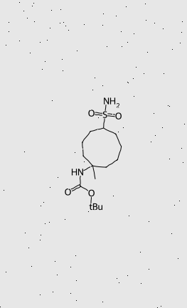 CC1(NC(=O)OC(C)(C)C)CCCCC(S(N)(=O)=O)CCC1